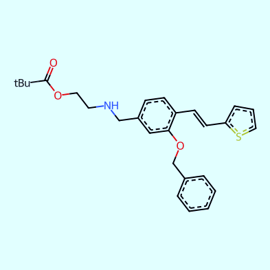 CC(C)(C)C(=O)OCCNCc1ccc(C=Cc2cccs2)c(OCc2ccccc2)c1